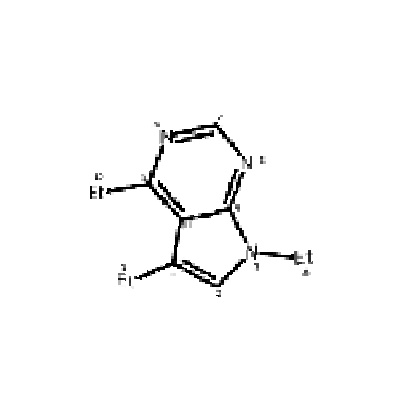 CCc1cn(CC)c2ncnc(CC)c12